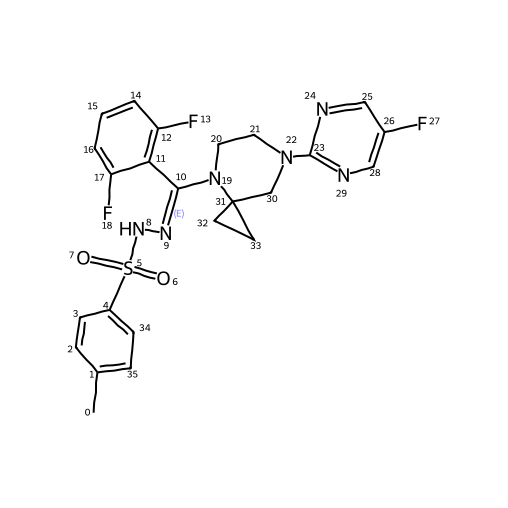 Cc1ccc(S(=O)(=O)N/N=C(\c2c(F)cccc2F)N2CCN(c3ncc(F)cn3)CC23CC3)cc1